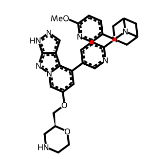 COc1ccc(CN2C3CC2CN(c2ccc(-c4cc(OC[C@@H]5CNCCO5)cn5nc6[nH]ncc6c45)cn2)C3)cn1